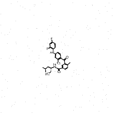 Cc1ccc(C(=O)N[C@@H](CO)CC(C)C)cc1C(=O)c1ccc(Nc2ccc(F)cc2F)cc1Cl